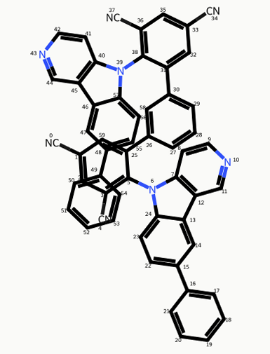 N#Cc1cc(C#N)c(-n2c3ccncc3c3cc(-c4ccccc4)ccc32)c(-c2cccc(-c3cc(C#N)cc(C#N)c3-n3c4ccncc4c4cc(-c5ccccc5)ccc43)c2)c1